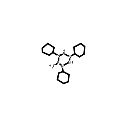 CB1N(C2CCCCC2)BN(C2CCCCC2)BN1C1CCCCC1